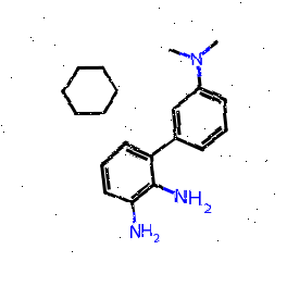 C1CCCCC1.CN(C)c1cccc(-c2cccc(N)c2N)c1